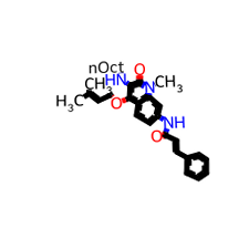 CCCCCCCCNc1c(OCC=C(C)C)c2ccc(NC(=O)C=Cc3ccccc3)cc2n(C)c1=O